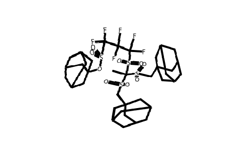 CC(S(=O)(=O)CC12CC3CC(CC(C3)C1)C2)(S(=O)(=O)CC12CC3CC(CC(C3)C1)C2)S(=O)(=O)C(F)(F)C(F)(F)C(F)(F)S(=O)(=O)OC12CC3CC(CC(C3)C1)C2